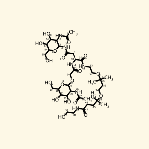 CC(=O)NC1C(NC(=O)C[C@H](NC(=O)COC2OC(CO)C(O)C(O)C2NC(C)=O)C(=O)NCCOC(C)(C)CCOC(C)(C)CCC(=O)NCCO)OC(CO)C(O)C1O